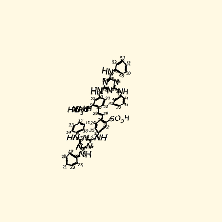 O=S(=O)(O)c1cc(Nc2nc(Nc3ccccc3)nc(Nc3ccccc3)n2)ccc1C=Cc1ccc(Nc2nc(Nc3ccccc3)nc(Nc3ccccc3)n2)cc1S(=O)(=O)O.[NaH].[NaH]